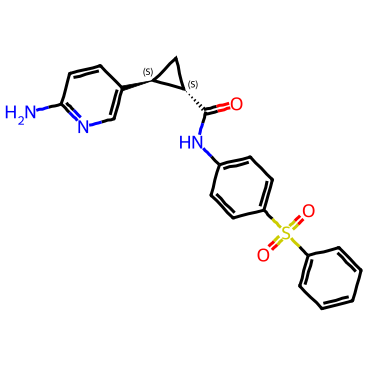 Nc1ccc([C@H]2C[C@@H]2C(=O)Nc2ccc(S(=O)(=O)c3ccccc3)cc2)cn1